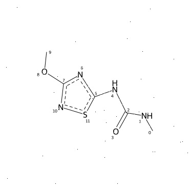 CNC(=O)Nc1nc(OC)ns1